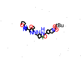 CC(C)(C)OC(=O)N1CCc2cc(C(=O)Nc3cc(CNc4ncc(-c5cnn(C6CCCCO6)c5)c5c4CCO5)ccc3F)ccc2C1